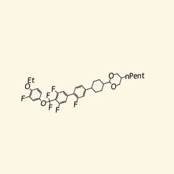 CCCCCC1COC(C2CCC(c3ccc(-c4cc(F)c(C(F)(F)Oc5ccc(OCC)c(F)c5)c(F)c4)c(F)c3)CC2)OC1